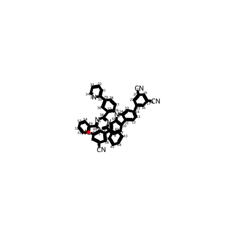 N#Cc1cc(C#N)cc(-c2ccc3c4ccc(-c5cc(C#N)cc(C#N)c5)cc4n(-c4ccc(-c5ccccn5)cc4-c4nc(-c5ccccc5)nc(-c5ccccc5)n4)c3c2)c1